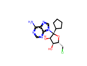 Nc1ncnc2c1ncn2[C@]1(C2CCCC2)O[C@H](CCl)[C@@H](O)[C@H]1O